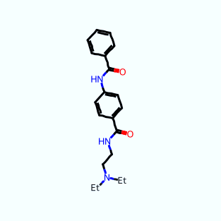 CCN(CC)CCNC(=O)c1ccc(NC(=O)c2ccccc2)cc1